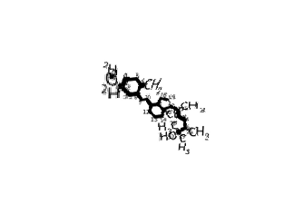 [2H]O[C@@]1([2H])CCC(=C)C(=CC=C2CCC[C@@]3(C)C2CC[C@@H]3[C@H](C)C=C[C@H](C)C(C)(C)O)C1